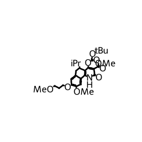 COCCCOc1cc2c(cc1OC)-c1[nH]c(=O)c(C(=O)OC)c(OC(=O)OC(C)(C)C)c1C(C(C)C)C2